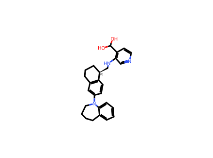 OC(O)c1ccncc1NC[C@@H]1CCCc2cc(N3CCCCc4ccccc43)ccc21